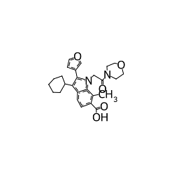 Cc1c(C(=O)O)ccc2c(C3CCCCC3)c(-c3ccoc3)n(CC(=O)N3CCOCC3)c12